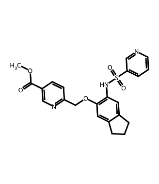 COC(=O)c1ccc(COc2cc3c(cc2NS(=O)(=O)c2cccnc2)CCC3)nc1